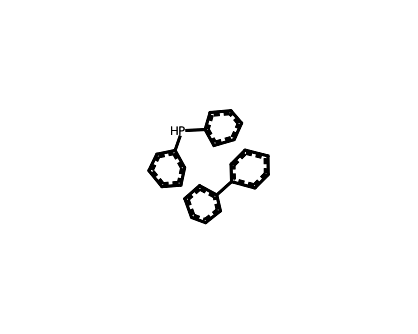 c1ccc(-c2ccccc2)cc1.c1ccc(Pc2ccccc2)cc1